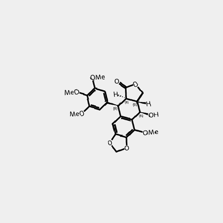 COc1cc([C@@H]2c3cc4c(c(OC)c3[C@H](O)[C@H]3COC(=O)[C@H]23)OCO4)cc(OC)c1OC